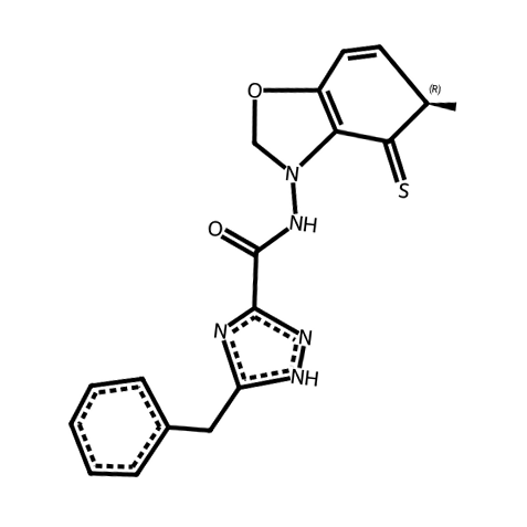 C[C@@H]1C=CC2=C(C1=S)N(NC(=O)c1n[nH]c(Cc3ccccc3)n1)CO2